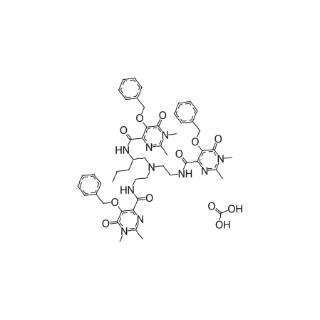 CCCC(CN(CCNC(=O)c1nc(C)n(C)c(=O)c1OCc1ccccc1)CCNC(=O)c1nc(C)n(C)c(=O)c1OCc1ccccc1)NC(=O)c1nc(C)n(C)c(=O)c1OCc1ccccc1.O=C(O)O